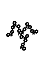 CC1(C)c2ccccc2-c2cc(-c3ccc4c5ccccc5n(-c5ccc(-c6nc(-c7cccc(-n8c9ccccc9c9ccc(-c%10ccc%11c(c%10)-c%10ccccc%10C%11(C)C)cc98)c7)nc7ccc(-c8cccc(-n9c%10ccccc%10c%10ccc(-c%11ccc%12c(c%11)-c%11ccccc%11C%12(C)C)cc%109)c8)cc67)cc5)c4c3)ccc21